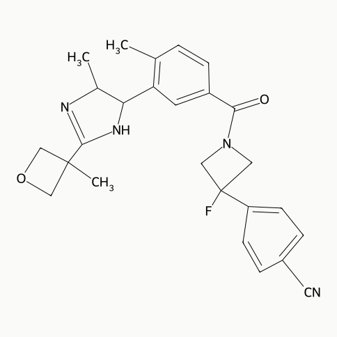 Cc1ccc(C(=O)N2CC(F)(c3ccc(C#N)cc3)C2)cc1C1NC(C2(C)COC2)=NC1C